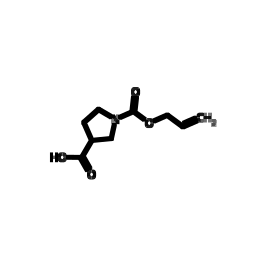 C=CCOC(=O)N1CCC(C(=O)O)C1